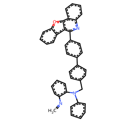 C=Nc1ccccc1N(Cc1ccc(-c2ccc(-c3nc4ccccc4c4oc5ccccc5c34)cc2)cc1)c1ccccc1